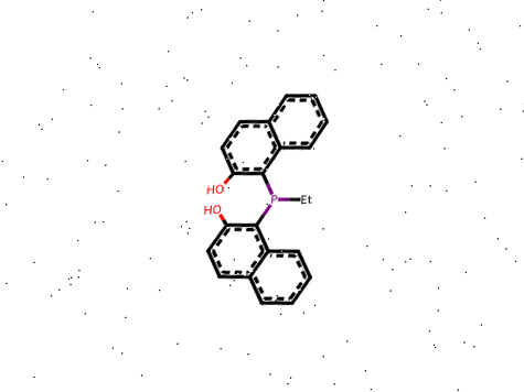 CCP(c1c(O)ccc2ccccc12)c1c(O)ccc2ccccc12